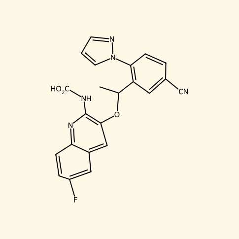 CC(Oc1cc2cc(F)ccc2nc1NC(=O)O)c1cc(C#N)ccc1-n1cccn1